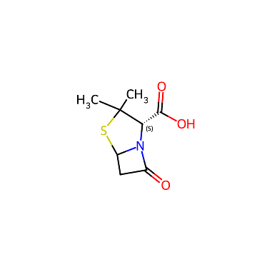 CC1(C)SC2CC(=O)N2[C@H]1C(=O)O